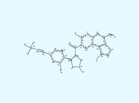 Cc1cc2nc(N)c3cnn(C)c3c2cc1C(=O)N1CC(C)CN1c1ncc(C#C[Si](C)(C)C)cc1F